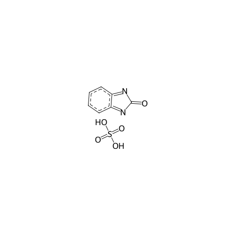 O=C1N=c2ccccc2=N1.O=S(=O)(O)O